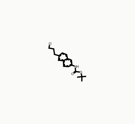 CC(C)(C)OC(=O)Nc1ccc2cc([CH]CCCl)ccc2c1